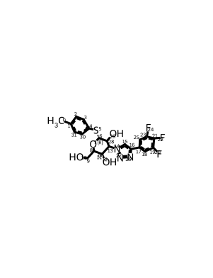 Cc1ccc(S[C@H]2OC(CO)[C@H](O)C(n3cc(-c4cc(F)c(F)c(F)c4)nn3)C2O)cc1